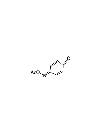 CC(=O)ON=C1C=CC(=O)C=C1